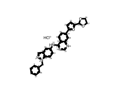 Cl.c1ccc(Cn2ncc3cc(Nc4ncnc5cc(-c6ccc(C7OCCO7)o6)ccc45)ccc32)cc1